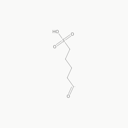 O=[C]CCCCS(=O)(=O)O